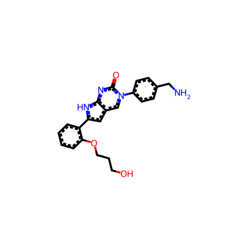 NCc1ccc(-n2cc3cc(-c4ccccc4OCCCO)[nH]c3nc2=O)cc1